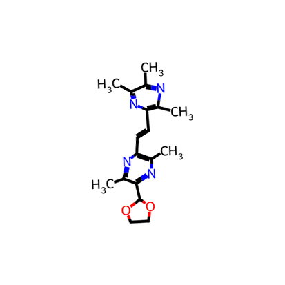 Cc1nc(C)c(/C=C/c2nc(C)c(C3OCCO3)nc2C)nc1C